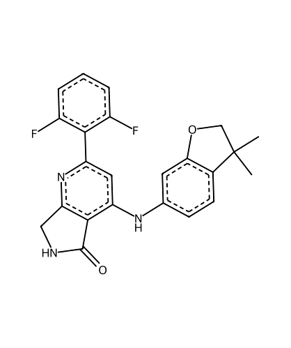 CC1(C)COc2cc(Nc3cc(-c4c(F)cccc4F)nc4c3C(=O)NC4)ccc21